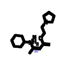 C=C(/C=C(/C)N(N)C1CCCCC1)OCCN1CCCC1